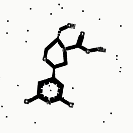 CC(C)(C)OC(=O)N1C[C@@H](c2cc(Cl)nc(Cl)c2)OC[C@@H]1CO